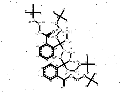 CC(C)(C)OOOC(=O)c1ccccc1C(OO)(OOOC(C)(C)C)OOC(OO)(OOOC(C)(C)C)c1ccccc1C(=O)OOOC(C)(C)C